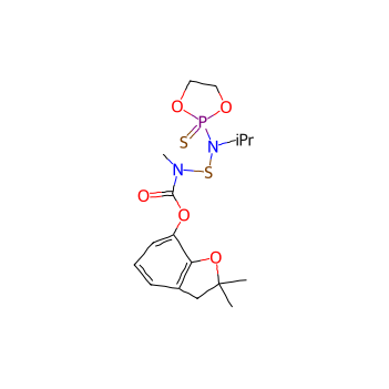 CC(C)N(SN(C)C(=O)Oc1cccc2c1OC(C)(C)C2)P1(=S)OCCO1